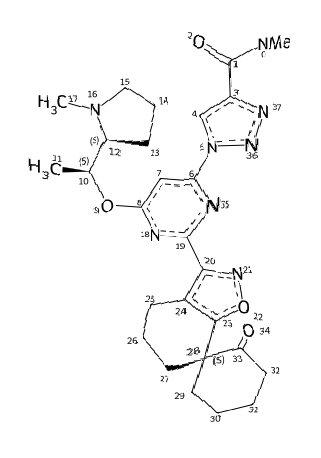 CNC(=O)c1cn(-c2cc(O[C@@H](C)[C@@H]3CCCN3C)nc(-c3noc4c3CCC[C@@]43CCCCC3=O)n2)nn1